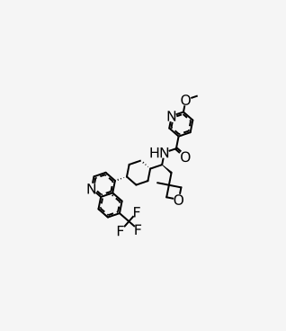 COc1ccc(C(=O)N[C@@H](CC2(C)COC2)[C@H]2CC[C@@H](c3ccnc4ccc(C(F)(F)F)cc43)CC2)cn1